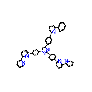 c1ccc(-c2cccc(-c3ccc(-c4cc(-c5ccc(-c6cccc(-c7ccccn7)n6)cc5)nc(-c5ccc(-c6cccc(-c7ccccn7)n6)cc5)n4)cc3)n2)cc1